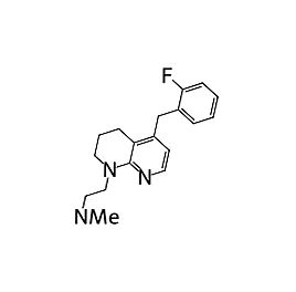 CNCCN1CCCc2c(Cc3ccccc3F)ccnc21